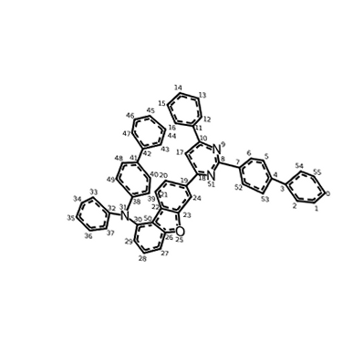 c1ccc(-c2ccc(-c3nc(-c4ccccc4)cc(-c4ccc5c(c4)oc4cccc(N(c6ccccc6)c6ccc(-c7ccccc7)cc6)c45)n3)cc2)cc1